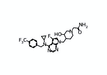 NC(=O)CN1CCC(Cn2cc(F)c3c(N(Cc4ccc(C(F)(F)F)cc4)C4CC4)ncnc32)C(O)C1